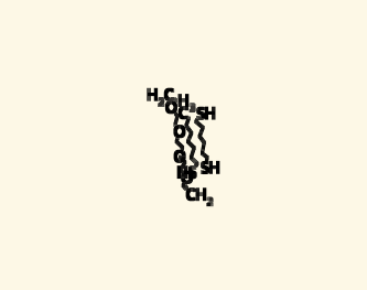 C=COCCOCCOCCOC=C.CCCCCCCCS.SCCCCCCS